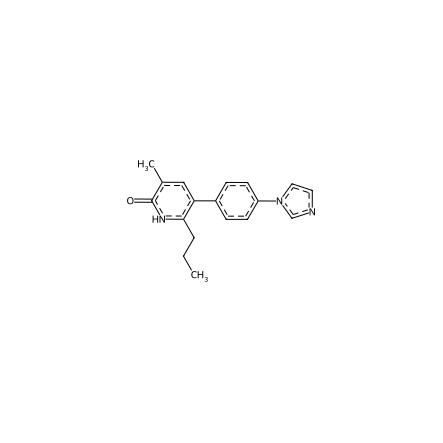 CCCc1[nH]c(=O)c(C)cc1-c1ccc(-n2ccnc2)cc1